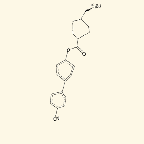 CC[C@H](C)CC1CCC(C(=O)Oc2ccc(-c3ccc(C#N)cc3)cc2)CC1